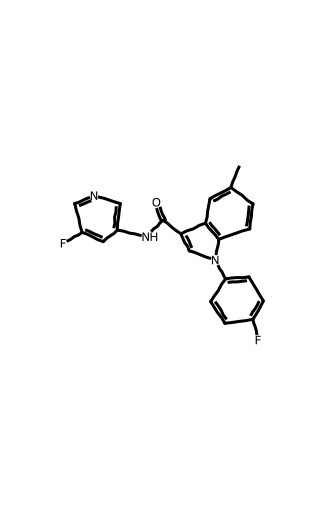 Cc1ccc2c(c1)c(C(=O)Nc1cncc(F)c1)cn2-c1ccc(F)cc1